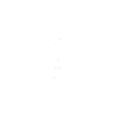 O=C1CCC(c2cccc(Nc3nccs3)n2)=NN1